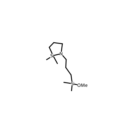 CO[Si](C)(C)CCCN1CCC[Si]1(C)C